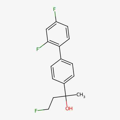 CC(O)(CCF)c1ccc(-c2ccc(F)cc2F)cc1